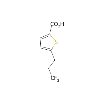 O=C(O)c1ccc(CCC(F)(F)F)s1